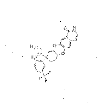 CC[C@@H](N)[C@]1(c2cccc(C(F)(F)F)c2)CC[C@@H](Oc2cc3cc[nH]c(=O)c3cc2Cl)CC1